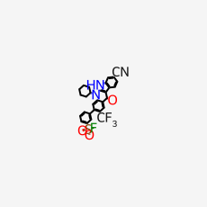 N#Cc1ccc2c(c1)[nH]c1c2c(=O)c2cc(C(F)(F)F)c(-c3cccc(S(=O)(=O)F)c3)cc2n1C1CCCCC1